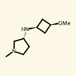 CO[C@H]1C[C@@H](N[C@@H]2CCN(C)C2)C1